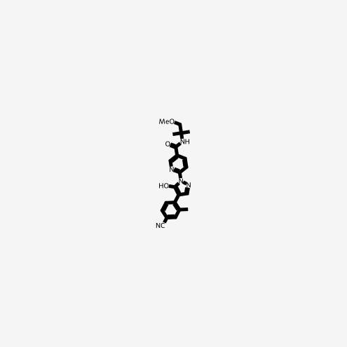 COCC(C)(C)NC(=O)c1ccc(-n2ncc(-c3ccc(C#N)cc3C)c2O)nc1